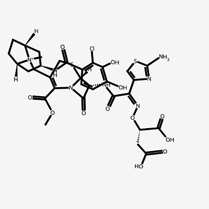 COC(=O)C1=C(C[N+]2(C)[C@@H]3CC[C@H]2C[C@H](NC(=O)c2ccc(O)c(O)c2Cl)C3)CS[C@@H]2[C@H](NC(=O)/C(=N\O[C@@H](CC(=O)O)C(=O)O)c3csc(N)n3)C(=O)N12